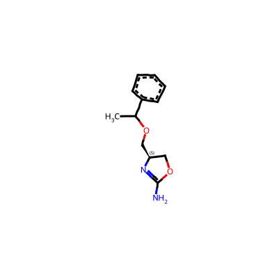 CC(OC[C@H]1COC(N)=N1)c1ccccc1